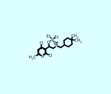 CC[Si](CC)(CC)OC(CNCC1CCC(C)(C)CC1)c1c(Cl)cc(C)nc1Cl